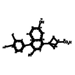 Cc1cc(-c2c(C(C)C)nc(C34CC(C(=O)O)(C3)C4)c3cc(O)ccc23)ccc1F